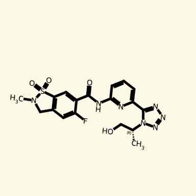 C[C@H](CO)n1nnnc1-c1cccc(NC(=O)c2cc3c(cc2F)CN(C)S3(=O)=O)n1